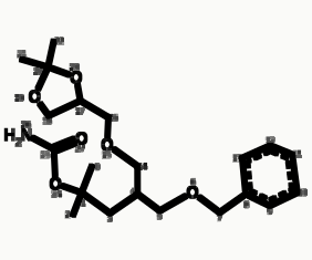 CC(C)(CC(COCc1ccccc1)COCC1COC(C)(C)O1)OC(N)=O